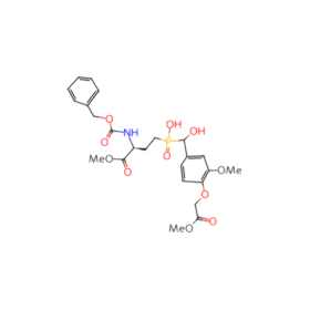 COC(=O)COc1ccc(C(O)P(=O)(O)CC[C@H](NC(=O)OCc2ccccc2)C(=O)OC)cc1OC